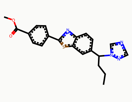 CCCC(c1ccc2nc(-c3ccc(C(=O)OC)cc3)sc2c1)n1cncn1